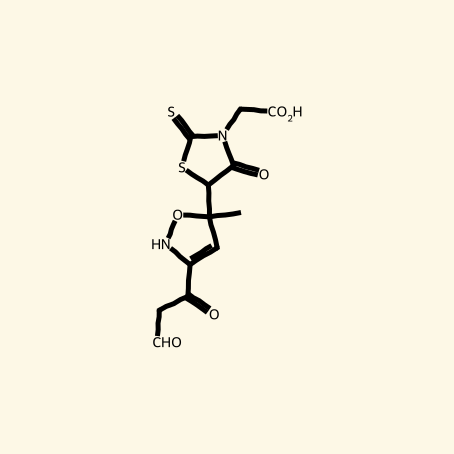 CC1(C2SC(=S)N(CC(=O)O)C2=O)C=C(C(=O)CC=O)NO1